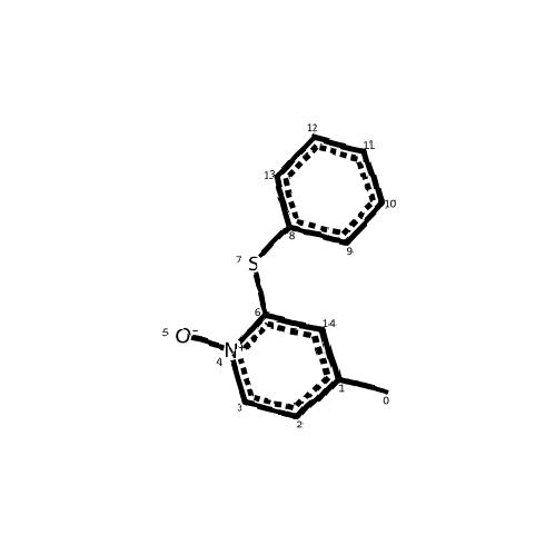 Cc1cc[n+]([O-])c(Sc2ccccc2)c1